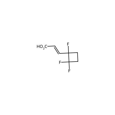 O=C(O)C=CC1(F)CCC1(F)F